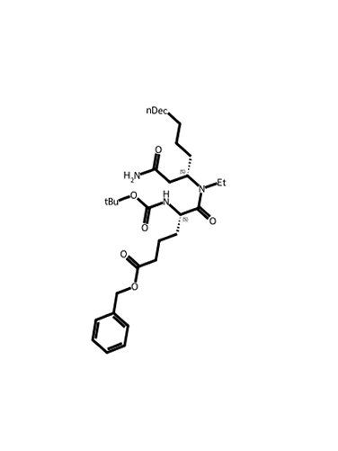 CCCCCCCCCCCCC[C@@H](CC(N)=O)N(CC)C(=O)[C@H](CCCC(=O)OCc1ccccc1)NC(=O)OC(C)(C)C